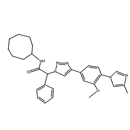 COc1cc(-c2cn(C(C(=O)NC3CCCCCCC3)c3ccccc3)nn2)ccc1-n1cnc(C)c1